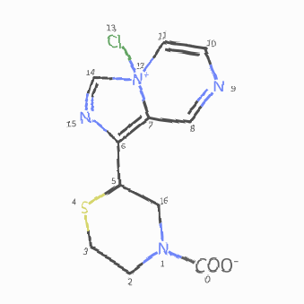 O=C([O-])N1CCSC(C2=C3C=NC=C[N+]3(Cl)C=N2)C1